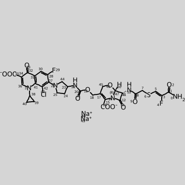 NC(=O)C(F)=CSCC(=O)N[C@@H]1C(=O)N2C(C(=O)[O-])=C(COC(=O)NC3CCN(c4c(F)cc5c(=O)c(C(=O)[O-])cn(C6CC6)c5c4Cl)C3)CO[C@H]12.[Na+].[Na+]